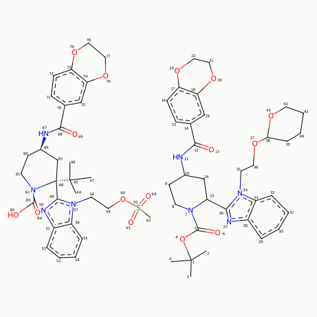 CC(C)(C)OC(=O)N1CCC(NC(=O)c2ccc3c(c2)OCCO3)CC1c1nc2ccccc2n1CCOC1CCCCO1.CC(C)(C)[C@@]1(c2nc3ccccc3n2CCOS(C)(=O)=O)C[C@H](NC(=O)c2ccc3c(c2)OCCO3)CCN1C(=O)O